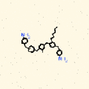 CCCCCCc1cc(Cc2ccc(N)cc2)ccc1Cc1ccc(Cc2ccc(Cc3ccc(N)cc3)cc2)c(C)c1